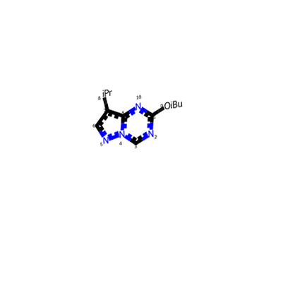 CC(C)COc1ncn2ncc(C(C)C)c2n1